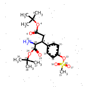 CC(C)(C)OC(=O)CC(c1ccc(OS(C)(=O)=O)cc1)C(N)C(=O)OC(C)(C)C